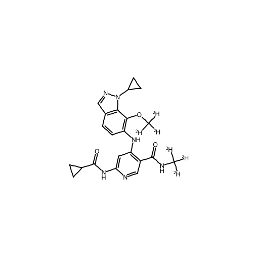 [2H]C([2H])([2H])NC(=O)c1cnc(NC(=O)C2CC2)cc1Nc1ccc2cnn(C3CC3)c2c1OC([2H])([2H])[2H]